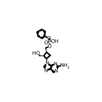 Nc1ncc2ncn([C@@H]3C[C@H](COP(=O)(O)Oc4ccccc4)[C@@H]3CO)c2n1